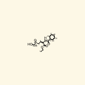 CCOC(=O)C(=CC[PH](=O)CO)NC(=O)c1ccccc1